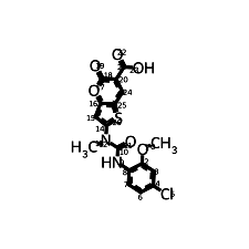 COc1cc(Cl)ccc1NC(=O)N(C)c1cc2oc(=O)c(C(=O)O)cc2s1